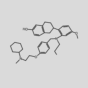 CCCN(Cc1ccc(OCCN(C)C2CCCCC2)cc1)c1cc(OC)ccc1C1CCc2cc(O)ccc2C1